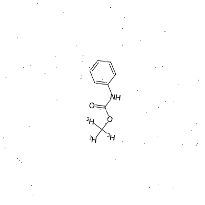 [2H]C([2H])([2H])OC(=O)Nc1ccccc1